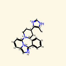 Cc1[nH]cnc1C1CCN(c2cccc3cnc(-c4ccccc4)n23)CC1